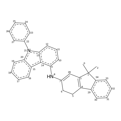 CC1(C)C2=C(CCC(Nc3cccc4c3c3ccccc3n4-c3ccccc3)=C2)c2ccccc21